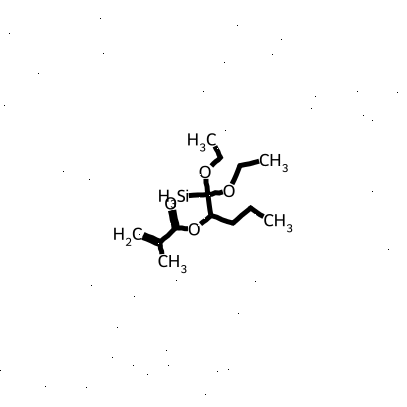 C=C(C)C(=O)OC(CCC)C([SiH3])(OCC)OCC